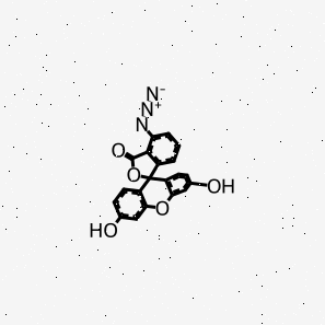 [N-]=[N+]=Nc1cccc2c1C(=O)OC21c2ccc(O)cc2Oc2cc(O)ccc21